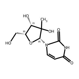 CC1(O)[C@@H](O)[C@@H](CO)O[C@H]1n1ccc(=O)[nH]c1=O